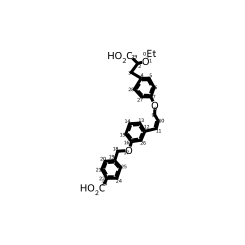 CCOC(Cc1ccc(OC/C=C\c2cccc(OCc3ccc(C(=O)O)cc3)c2)cc1)C(=O)O